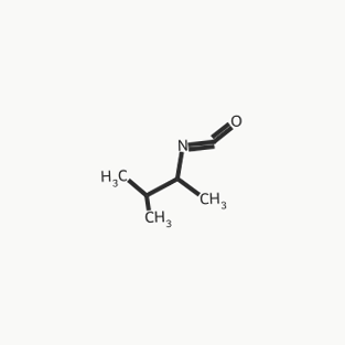 CC(C)C(C)N=C=O